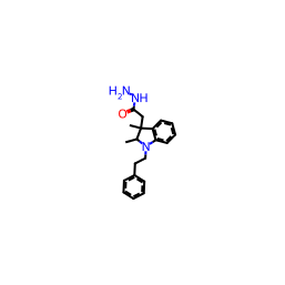 CC1N(CCc2ccccc2)c2ccccc2C1(C)CC(=O)NN